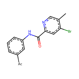 CC(=O)c1cccc(NC(=O)c2cc(Br)c(C)cn2)c1